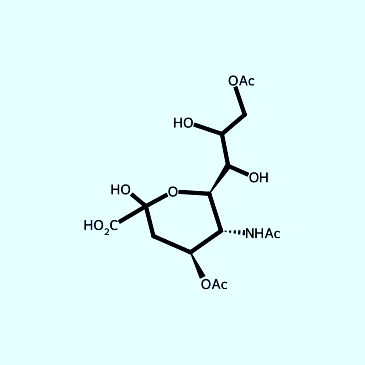 CC(=O)N[C@@H]1[C@@H](OC(C)=O)CC(O)(C(=O)O)O[C@H]1C(O)C(O)COC(C)=O